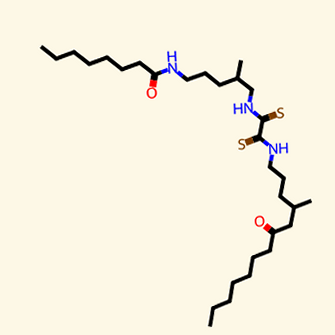 CCCCCCCC(=O)CC(C)CCCNC(=S)C(=S)NCC(C)CCCNC(=O)CCCCCCC